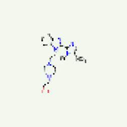 CCn1c([N+](=O)[O-])cnc1-c1nc2ccccc2n1CCN1CCN(CCO)CC1